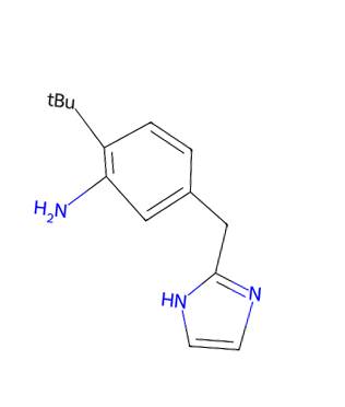 CC(C)(C)c1ccc(Cc2ncc[nH]2)cc1N